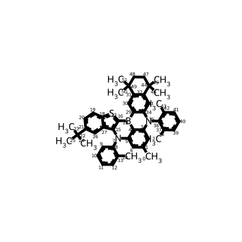 Cc1cc2c3c(c1)N(c1ccccc1C)c1c(sc4ccc(C(C)(C)C)cc14)B3c1cc3c(cc1N2c1c(C)cccc1C)C(C)(C)CCC3(C)C